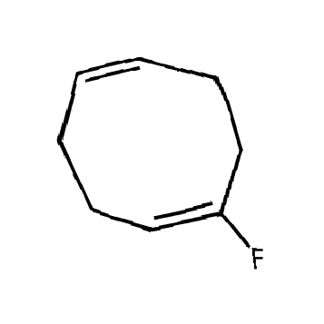 F/C1=C/CC/C=C\CC1